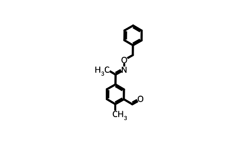 C/C(=N\OCc1ccccc1)c1ccc(C)c(C=O)c1